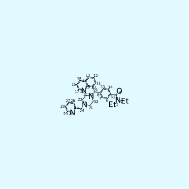 CCN(CC)C(=O)c1ccc(C(c2cccc3cccnc23)N2CCN(Cc3ccccn3)CC2)cc1